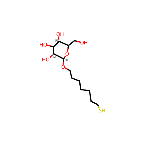 OCC1O[C@@H](OCCCCCCCS)[C@@H](O)C(O)[C@H]1O